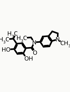 CCN(C(=O)c1cc(C(C)C)c(O)cc1O)c1ccc2c(c1)CCN2C